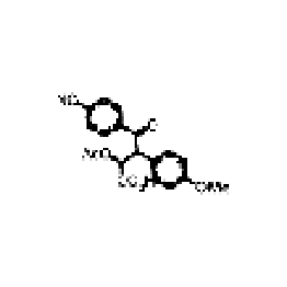 COc1ccc(C(C(=O)c2ccc(C#N)cc2)C(OC(C)=O)C(=O)O)cc1